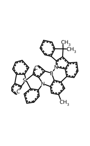 Cc1cc2c3c(c1)N1c4ccccc4[Si]4(c5ccccc5-c5ccccc54)c4cccc(c41)B3n1c3c(c4cccc-2c41)C(C)(C)c1ccccc1-3